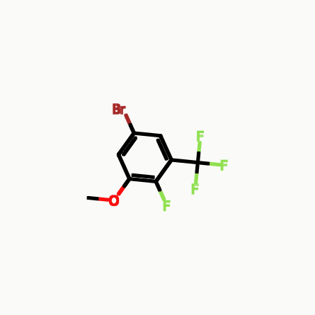 COc1cc(Br)cc(C(F)(F)F)c1F